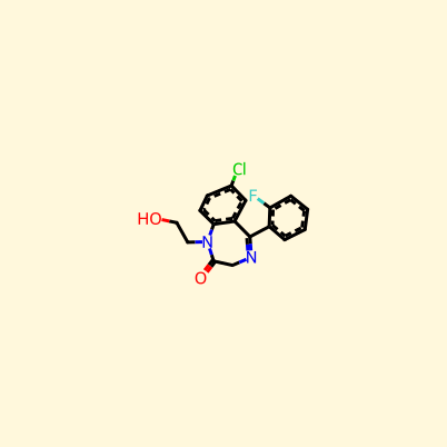 O=C1CN=C(c2ccccc2F)c2cc(Cl)ccc2N1CCO